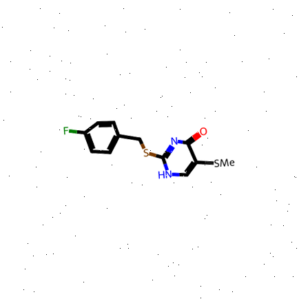 CSc1c[nH]c(SCc2ccc(F)cc2)nc1=O